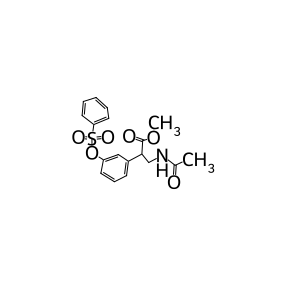 COC(=O)C(CNC(C)=O)c1cccc(OS(=O)(=O)c2ccccc2)c1